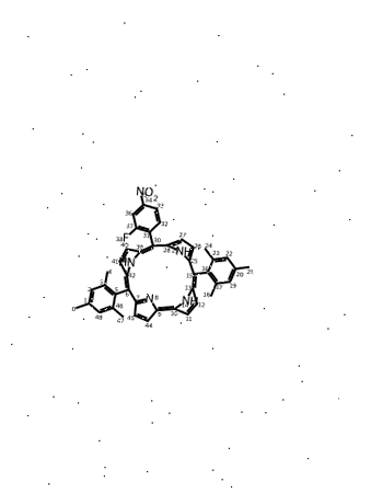 Cc1cc(C)c(-c2c3nc(c4ccc([nH]4)c(-c4c(C)cc(C)cc4C)c4ccc([nH]4)c(-c4ccc([N+](=O)[O-])cc4F)c4ccc2[nH]4)C=C3)c(C)c1